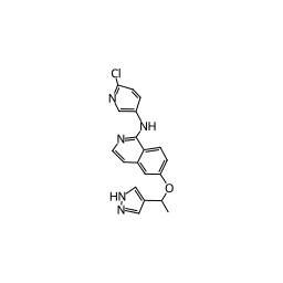 CC(Oc1ccc2c(Nc3ccc(Cl)nc3)nccc2c1)c1cn[nH]c1